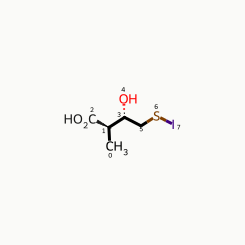 C[C@@H](C(=O)O)[C@H](O)CSI